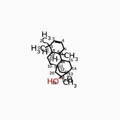 CC1(C)C=CC[C@@]2(C)[C@H]1CC[C@]13C[C@@H](CC[C@@H]12)[C@@](C)(O)C3